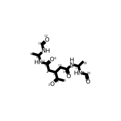 CC(=O)C(CC(=O)NC(C)NC=O)CC(=O)NC(C)NC=O